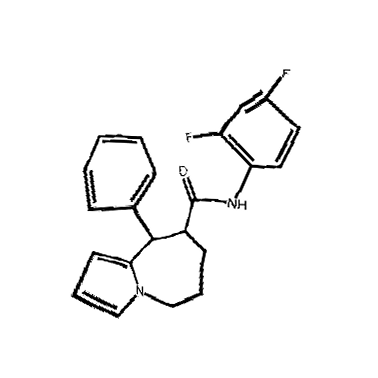 O=C(Nc1ccc(F)cc1F)C1CCCn2cccc2C1c1ccccc1